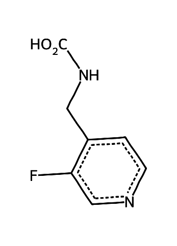 O=C(O)NCc1ccncc1F